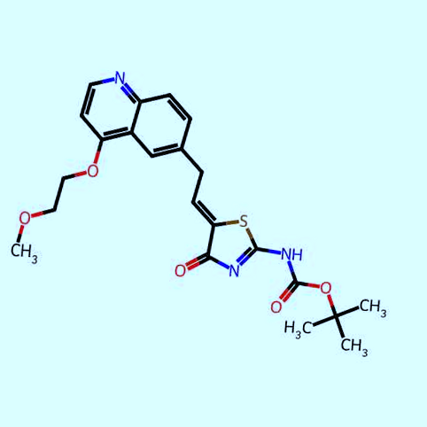 COCCOc1ccnc2ccc(C/C=C3\SC(NC(=O)OC(C)(C)C)=NC3=O)cc12